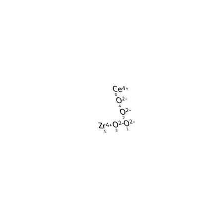 [Ce+4].[O-2].[O-2].[O-2].[O-2].[Zr+4]